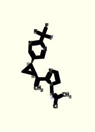 C=C(c1nccn1/N=C(\C)Cl)[C@H]1C[C@@H]1c1cnc(C(F)(F)F)nc1